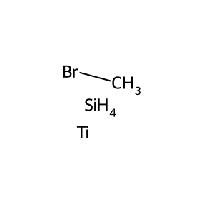 CBr.[SiH4].[Ti]